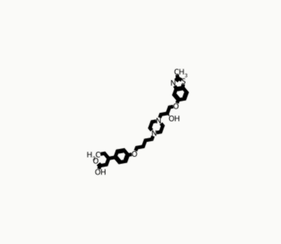 CCC(CC(=O)O)c1ccc(OCCCCN2CCN(C[C@@H](O)COc3ccc4sc(C)nc4c3)CC2)cc1